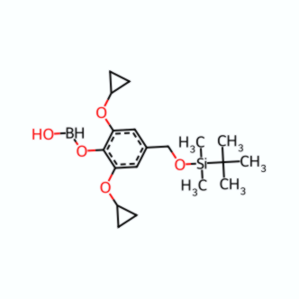 CC(C)(C)[Si](C)(C)OCc1cc(OC2CC2)c(OBO)c(OC2CC2)c1